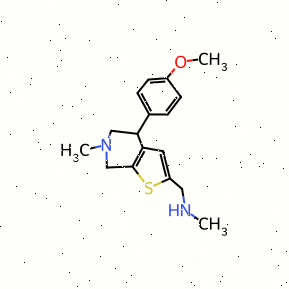 CNCc1cc2c(s1)CN(C)CC2c1ccc(OC)cc1